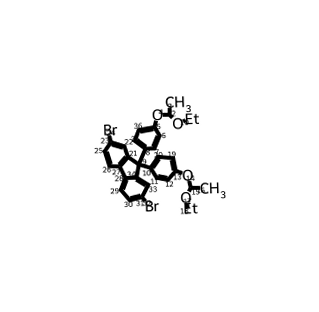 CCOC(C)Oc1ccc(C2(c3ccc(OC(C)OCC)cc3)c3cc(Br)ccc3-c3ccc(Br)cc32)cc1